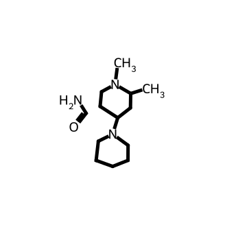 CC1CC(N2CCCCC2)CCN1C.NC=O